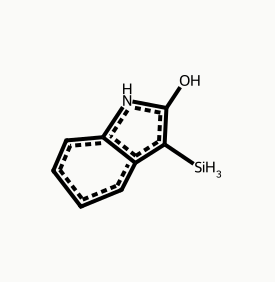 Oc1[nH]c2ccccc2c1[SiH3]